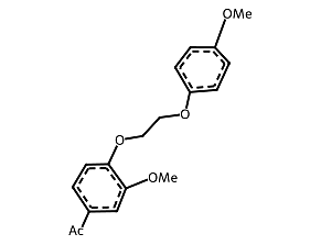 COc1ccc(OCCOc2ccc(C(C)=O)cc2OC)cc1